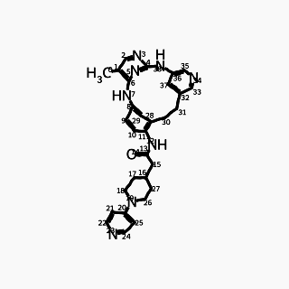 Cc1cnc2nc1Nc1ccc(NC(=O)CC3CCN(c4ccncc4)CC3)c(c1)CCc1cncc(c1)N2